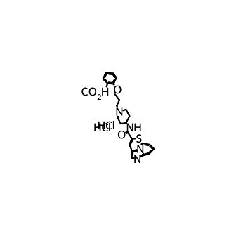 Cl.Cl.O=C(NC1CCN(CCCOc2ccccc2C(=O)O)CC1)C1=Cc2cnc3cccc(n23)S1